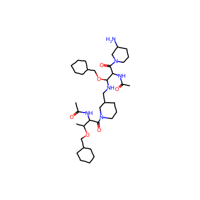 CC(=O)NC(C(=O)N1CCCC(CNC(OCC2CCCCC2)C(NC(C)=O)C(=O)N2CCCC(N)C2)C1)C(C)OCC1CCCCC1